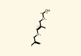 C=C(C)CO/C=C(\C)COCO